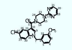 COc1cccc(Cn2cc(C(=O)N3CCN(c4ncccn4)CC3)c3cc(Cl)ccc32)c1